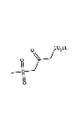 CCOC(=O)CC(=O)CS(C)(=O)=O